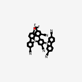 N#Cc1ccc2c3ccc(C#N)cc3n(-c3cc(-c4ccc(C(F)(F)F)cc4C#N)c(-n4c5cc(C#N)ccc5c5ccc(C#N)cc54)cc3C#N)c2c1